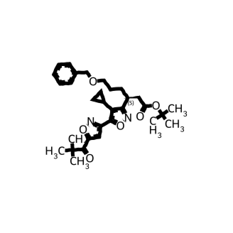 CC(C)(C)OC(=O)C[C@H](CCCOCc1ccccc1)c1noc(-c2cc(C(=O)C(C)(C)C)on2)c1C1CC1